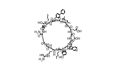 CCCCC[C@@H]1NC(=O)[C@H](Cc2ccc(-c3ccccc3)cc2)NC(=O)[C@H](CC(C)C)NC(=O)[C@H](C(C)C)NC(=O)[C@H](CCC(=O)O)NC(=O)[C@H](CC(=O)O)NC(=O)[C@H](Cc2c[nH]c3cnccc23)NC(=O)[C@H](Cc2ccc(O)cc2)NC(O)[C@H](CCCCC)NC(O)[C@H](CCCCNC(=N)N)NC(=O)[C@H](C)NC(=O)CSC[C@@H](C(N)=O)NC(=O)C2(C[C@@H]2C(=O)O)NC1=O